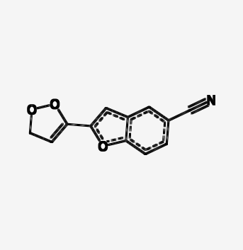 N#Cc1ccc2oc(C3=CCOO3)cc2c1